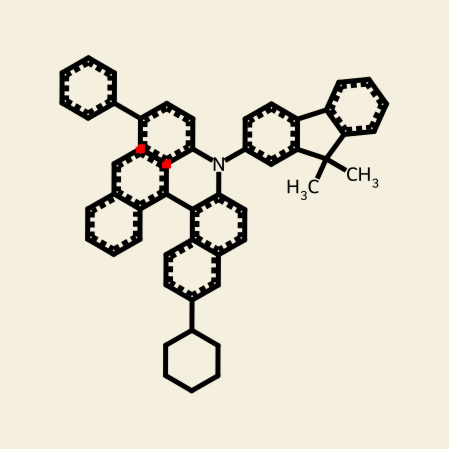 CC1(C)c2ccccc2-c2ccc(N(c3ccc(-c4ccccc4)cc3)c3ccc4cc(C5CCCCC5)ccc4c3-c3cccc4ccccc34)cc21